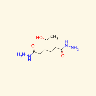 CCO.NNC(=O)CCCCC(=O)NN